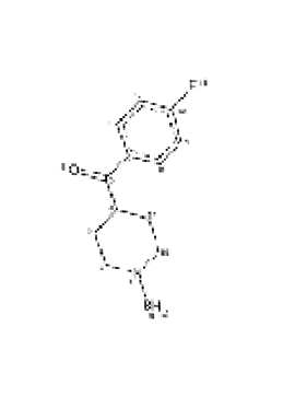 BN1CCC(C(=O)c2ccc(F)cc2)CC1